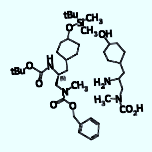 CN(CC(N)CC1CCC(O)CC1)C(=O)O.CN(C[C@H](CC1CCC(O[Si](C)(C)C(C)(C)C)CC1)NC(=O)OC(C)(C)C)C(=O)OCc1ccccc1